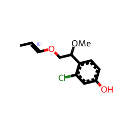 C/C=C/OCC(OC)c1ccc(O)cc1Cl